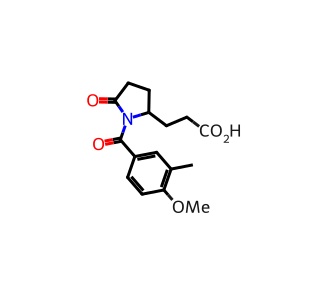 COc1ccc(C(=O)N2C(=O)CCC2CCC(=O)O)cc1C